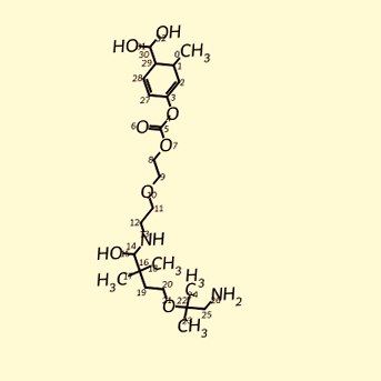 CC1C=C(OC(=O)OCCOCCNC(O)C(C)(C)CCOC(C)(C)CN)C=CC1C(O)O